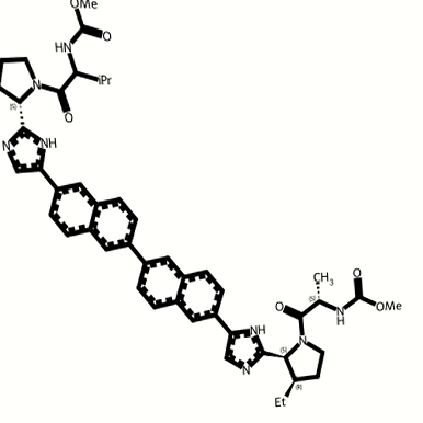 CC[C@@H]1CCN(C(=O)[C@H](C)NC(=O)OC)[C@@H]1c1ncc(-c2ccc3cc(-c4ccc5cc(-c6cnc([C@@H]7CCCN7C(=O)C(NC(=O)OC)C(C)C)[nH]6)ccc5c4)ccc3c2)[nH]1